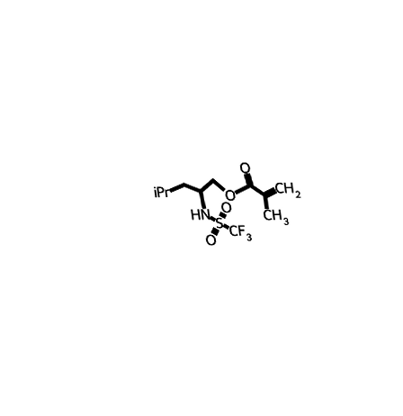 C=C(C)C(=O)OCC(CC(C)C)NS(=O)(=O)C(F)(F)F